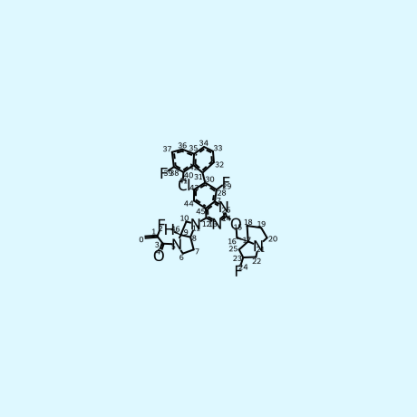 C=C(F)C(=O)N1CCC2[C@H]1CN2c1nc(OC[C@@]23CCCN2CC(F)C3)nc2c(F)c(-c3cccc4ccc(F)c(Cl)c34)ccc12